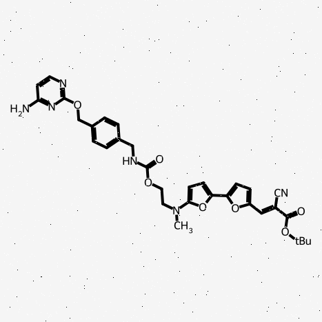 CN(CCOC(=O)NCc1ccc(COc2nccc(N)n2)cc1)c1ccc(-c2ccc(/C=C(\C#N)C(=O)OC(C)(C)C)o2)o1